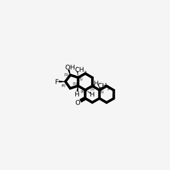 C[C@]12CC[C@H]3[C@@H](C(=O)CC4CCCC[C@@]43C)[C@@H]1C[C@@H](F)[C@H]2O